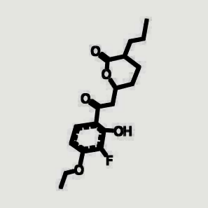 CCCC1CCC(CC(=O)c2ccc(OCC)c(F)c2O)OC1=O